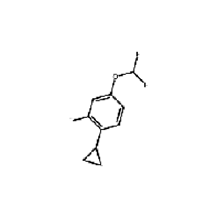 Fc1cc(OC(F)F)ccc1C1CC1